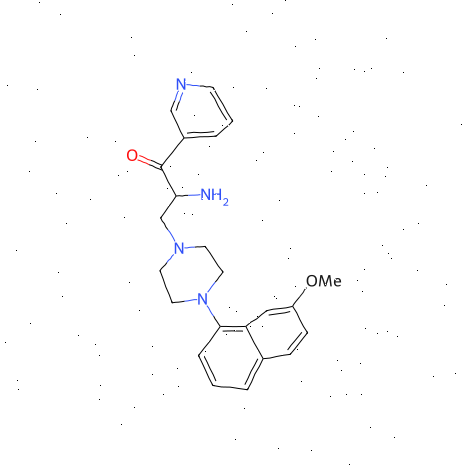 COc1ccc2cccc(N3CCN(CC(N)C(=O)c4cccnc4)CC3)c2c1